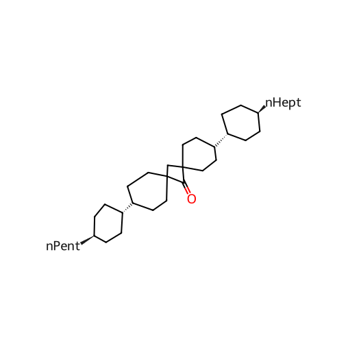 CCCCCCC[C@H]1CC[C@H](C2CCC3(CC2)CC2(CCC([C@H]4CC[C@H](CCCCC)CC4)CC2)C3=O)CC1